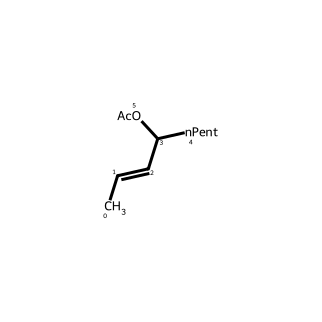 C/C=C/C(CCCCC)OC(C)=O